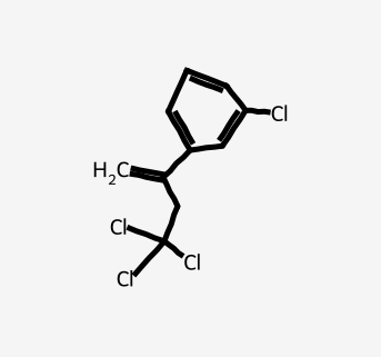 C=C(CC(Cl)(Cl)Cl)c1cccc(Cl)c1